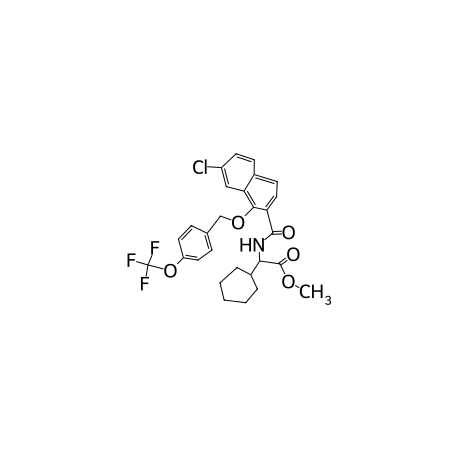 COC(=O)C(NC(=O)c1ccc2ccc(Cl)cc2c1OCc1ccc(OC(F)(F)F)cc1)C1CCCCC1